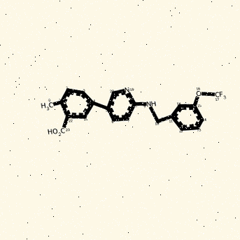 Cc1ccc(-c2ccc(NCc3cccc(OC(F)(F)F)c3)nc2)cc1C(=O)O